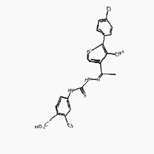 CC(=NNC(=S)Nc1ccc(C(=O)O)c(Cl)c1)c1csc(-c2ccc(Cl)cc2)c1O